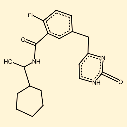 O=C(NC(O)C1CCCCC1)c1cc(Cc2cc[nH]c(=O)n2)ccc1Cl